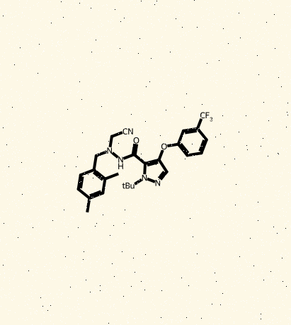 Cc1ccc(CN(CC#N)NC(=O)c2c(Oc3cccc(C(F)(F)F)c3)cnn2C(C)(C)C)c(C)c1